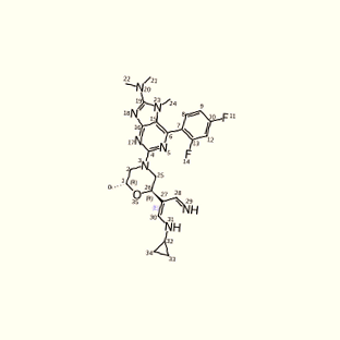 C[C@@H]1CN(c2nc(-c3ccc(F)cc3F)c3c(n2)nc(N(C)C)n3C)C[C@@H](/C(C=N)=C/NC2CC2)O1